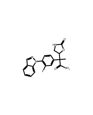 CC(C(N)=O)(c1ccc(-n2ncc3ccccc32)c(F)c1)C1CNC(=O)O1